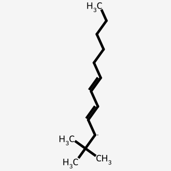 CCCCCC=CC=C[CH]C(C)(C)C